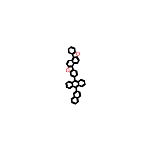 C1=Cc2oc3ccc4c(ccc5oc6cc(-c7c8ccccc8c(-c8ccc9ccccc9c8)c8ccccc78)ccc6c54)c3c2CC1